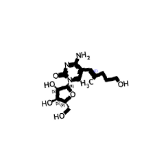 C/C(=C\c1cn([C@@H]2O[C@H](CO)[C@@H](O)[C@@H]2O)c(=O)nc1N)CCCO